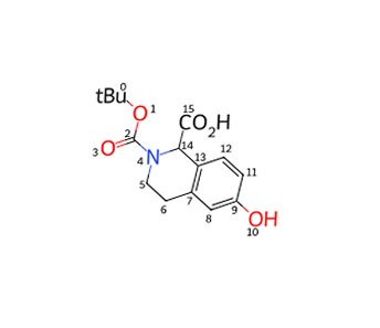 CC(C)(C)OC(=O)N1CCc2cc(O)ccc2C1C(=O)O